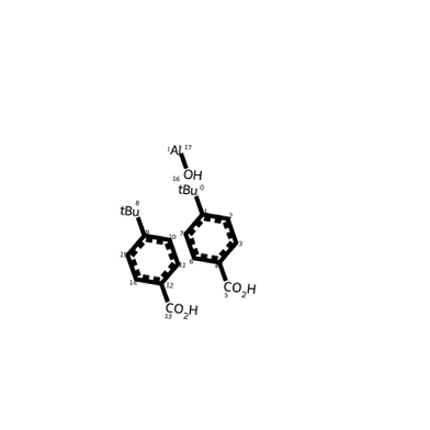 CC(C)(C)c1ccc(C(=O)O)cc1.CC(C)(C)c1ccc(C(=O)O)cc1.[OH][Al]